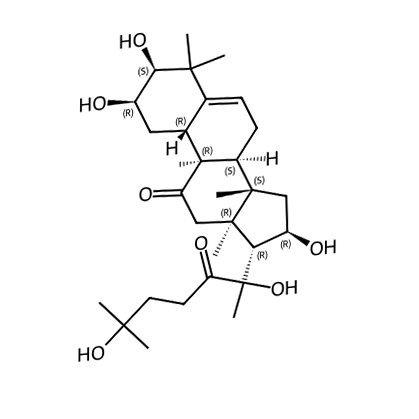 CC(C)(O)CCC(=O)C(C)(O)[C@H]1[C@H](O)C[C@@]2(C)[C@@H]3CC=C4[C@@H](C[C@@H](O)[C@@H](O)C4(C)C)[C@]3(C)C(=O)C[C@]12C